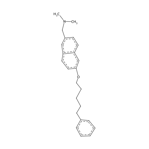 CN(C)Cc1ccc2cc(OCCCCCc3ccccc3)ccc2c1